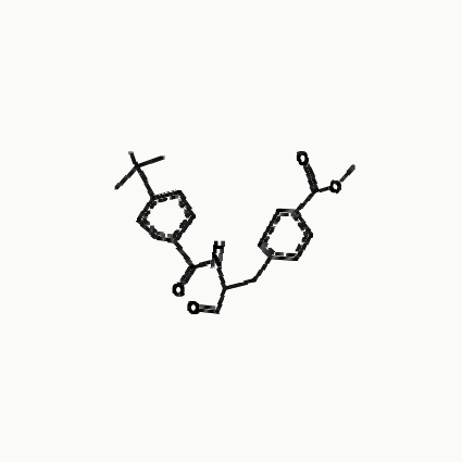 COC(=O)c1ccc(CC(C=O)NC(=O)c2ccc(C(C)(C)C)cc2)cc1